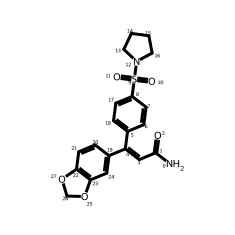 NC(=O)C=C(c1ccc(S(=O)(=O)N2CCCC2)cc1)c1ccc2c(c1)OCO2